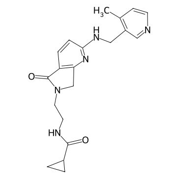 Cc1ccncc1CNc1ccc2c(n1)CN(CCNC(=O)C1CC1)C2=O